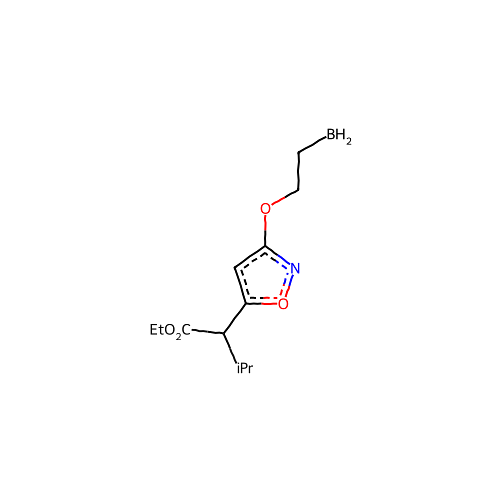 BCCOc1cc(C(C(=O)OCC)C(C)C)on1